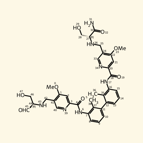 COc1cc(C(=O)Nc2cccc(-c3cccc(NC(=O)c4cc(OC)c(CN[C@H](CO)C(N)=O)cn4)c3C)c2C)ncc1CN[C@@H](C=O)CO